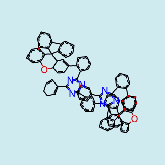 C1=CC(c2nc(-c3cccc(-c4cccc5c4-c4ccccc4C54c5ccccc5Oc5ccc(-c6ccccc6-c6nc(-c7ccccc7)nc(-c7ccccc7-c7ccccc7)n6)cc54)c3)nc(-c3ccccc3C3=CC4C(C=C3)Oc3ccccc3C43c4ccccc4-c4ccccc43)n2)=CCC1